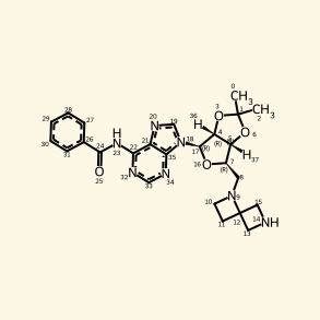 CC1(C)O[C@@H]2[C@H](O1)[C@@H](CN1CCC13CNC3)O[C@H]2n1cnc2c(NC(=O)c3ccccc3)ncnc21